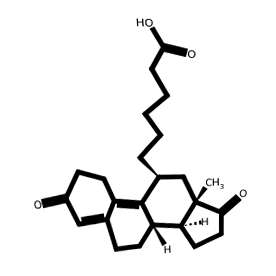 C[C@]12C[C@H](CCCCCC(=O)O)C3=C4CCC(=O)C=C4CC[C@H]3[C@@H]1CCC2=O